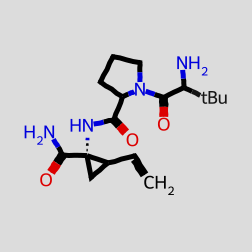 C=CC1C[C@@]1(NC(=O)C1CCCN1C(=O)C(N)C(C)(C)C)C(N)=O